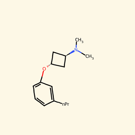 CCCc1cccc(O[C@H]2C[C@H](N(C)C)C2)c1